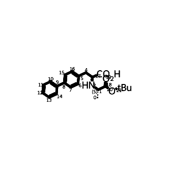 C[C@H](NC(Cc1ccc(-c2ccccc2)cc1)C(=O)O)C(=O)OC(C)(C)C